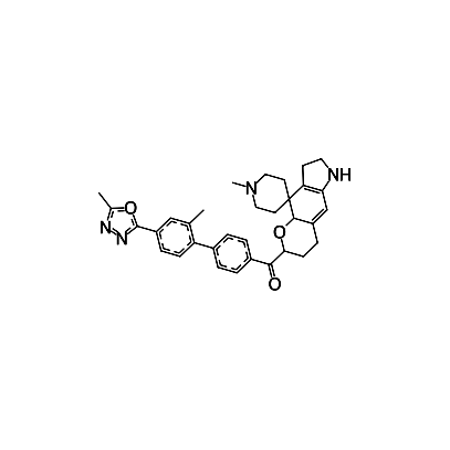 Cc1nnc(-c2ccc(-c3ccc(C(=O)C4CCC5=CC6=C(CCN6)C6(CCN(C)CC6)C5O4)cc3)c(C)c2)o1